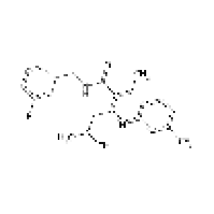 Cc1c(C(=O)NCc2cccc(F)c2)c(CN(C)C)nc2cc(C(F)(F)F)ccc12